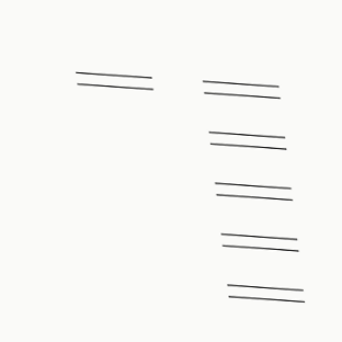 C=C.C=C.C=C.C=C.C=C.C=C